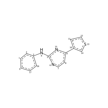 c1ccc(Nc2nccc(-c3ccsc3)n2)cc1